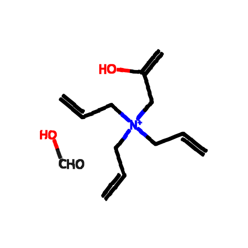 C=CC[N+](CC=C)(CC=C)CC(=C)O.O=[C-]O